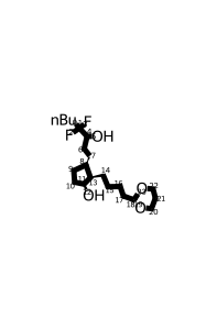 CCCCC(F)(F)C(O)CC[C@H]1CC[C@H](O)[C@@H]1CCCCC1OCCCO1